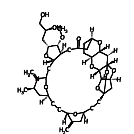 C=C1C[C@@H]2CC[C@]34C[C@@H]5O[C@H]6[C@@H](O3)[C@H]3O[C@H](CC[C@@H]3O[C@H]6[C@@H]5O4)CC(=O)C[C@@H]3[C@@H](OC)[C@@H](C[C@H](O)CO)O[C@H]3C[C@H]3O[C@@H](CC[C@@H]1O2)C[C@@H](C)C3=C